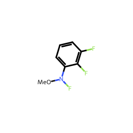 CON(F)c1cccc(F)c1F